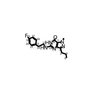 CCCc1nn(C)c2c(=O)[nH]c(NCCc3ccc(F)cc3)nc12